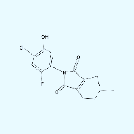 CC1CCC2=C(C1)C(=O)N(c1cc(O)c(Cl)cc1F)C2=O